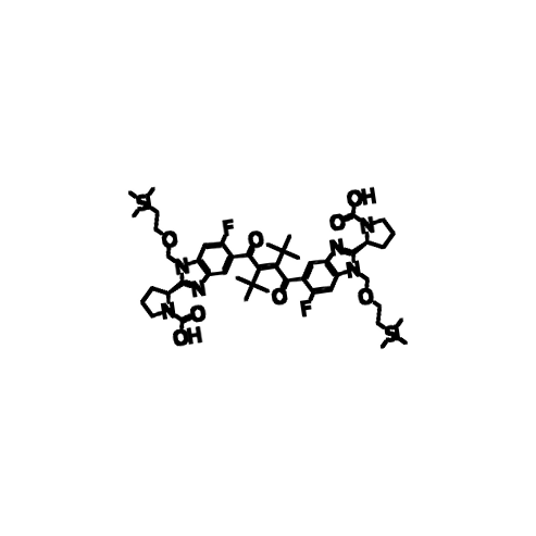 CC(C)(C)/C(C(=O)c1cc2nc([C@@H]3CCCN3C(=O)O)n(COCC[Si](C)(C)C)c2cc1F)=C(\C(=O)c1cc2nc([C@@H]3CCCN3C(=O)O)n(COCC[Si](C)(C)C)c2cc1F)C(C)(C)C